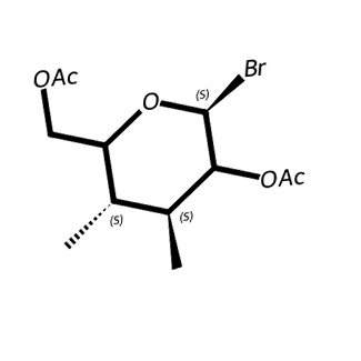 CC(=O)OCC1O[C@@H](Br)C(OC(C)=O)[C@@H](C)[C@@H]1C